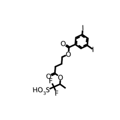 CC(OC(=O)CCCOC(=O)c1cc(I)cc(I)c1)C(F)(F)S(=O)(=O)O